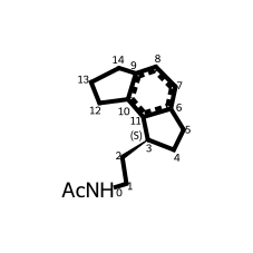 CC(=O)NCC[C@@H]1CCc2ccc3c(c21)CCC3